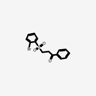 O=C(CCS(=O)(=O)c1ccccc1Br)c1ccccc1